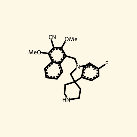 COc1c(C#N)c(OC)c2ccccc2c1CN(C)CC1(c2ccc(F)cc2)CCNCC1